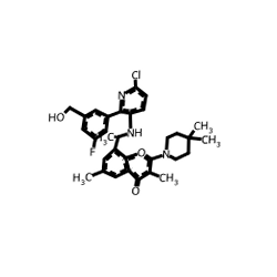 Cc1cc([C@@H](C)Nc2ccc(Cl)nc2-c2cc(F)cc(CO)c2)c2oc(N3CCC(C)(C)CC3)c(C)c(=O)c2c1